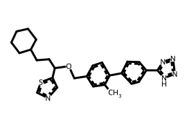 Cc1cc(COC(CCC2CCCCC2)c2cncs2)ccc1-c1ccc(-c2nnn[nH]2)cc1